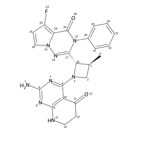 C[C@H]1CN(c2nc(N)nc3c2C(=O)CCN3)[C@@H]1c1nn2ccc(F)c2c(=O)n1-c1ccccc1